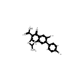 CC1Sc2c(C(=O)O)c(=O)c3cc(F)c(-c4ccc(F)cc4)cc3n21